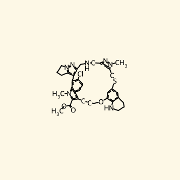 COC(=O)c1c2c3ccc(Cl)c(c3n1C)-c1c(nn3c1CCC3)CNCc1cc(n(C)n1)CSc1cc3c(c(c1)OCCC2)NCCC3